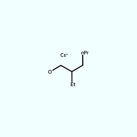 CCCCC(CC)C[O-].[Cs+]